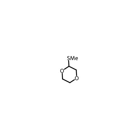 CSC1COCCO1